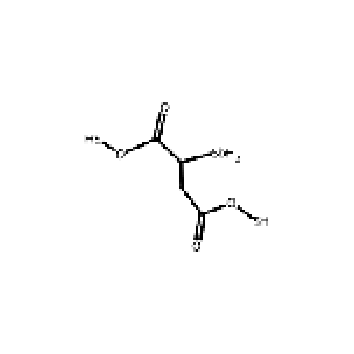 O=C(C[CH]([SbH2])C(=O)OS)OS